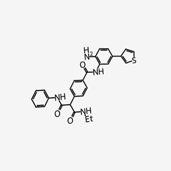 CCNC(=O)C(C(=O)Nc1ccccc1)c1ccc(C(=O)Nc2cc(-c3ccsc3)ccc2N)cc1